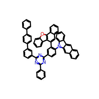 c1ccc(-c2ccc(-c3cccc(-c4nc(-c5ccccc5)nc(-c5ccc(-n6c7ccccc7c7cc8ccccc8cc76)c(-c6cc7ccccc7c7oc8ccccc8c67)c5)n4)c3)cc2)cc1